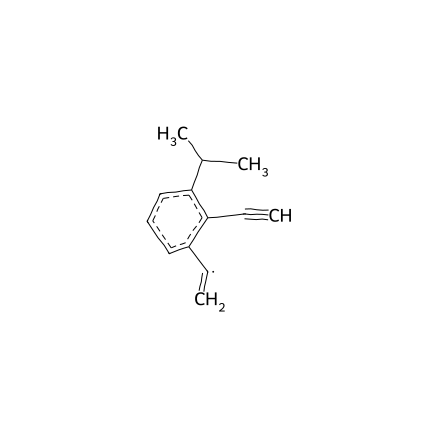 C#Cc1c([C]=C)cccc1C(C)C